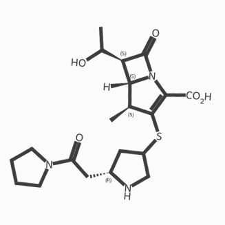 CC(O)[C@H]1C(=O)N2C(C(=O)O)=C(SC3CN[C@H](CC(=O)N4CCCC4)C3)[C@@H](C)[C@H]12